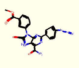 COC(=O)c1cccc(-n2c(=O)[nH]c3c(C(N)=O)nc(-c4ccc(N=[N+]=[N-])cc4)nc32)c1